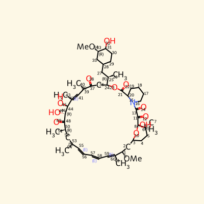 COC1CC2CC[C@@H](C)C(O)(O2)C(=O)C(=O)N2CCCCC2C(=O)OC([C@H](C)CC2CCC(O)[C@H](OC)C2)CC(=O)[C@H](C)/C=C(\C)C(O)[C@@H](O)C(=O)[C@H](C)C[C@H](C)/C=C/C=C/C=C/1C